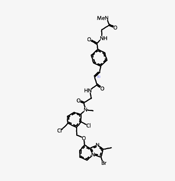 CNC(=O)CNC(=O)c1ccc(/C=C/C(=O)NCC(=O)N(C)c2ccc(Cl)c(COc3cccn4c(Br)c(C)nc34)c2Cl)cc1